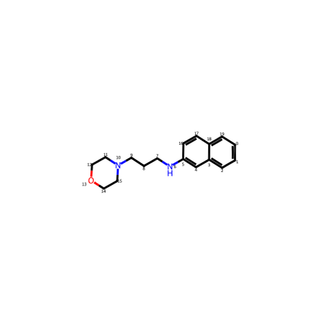 c1ccc2cc(NCCCN3CCOCC3)ccc2c1